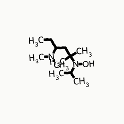 CCC(CC(C)(C)N(O)C(C)C)N(C)C